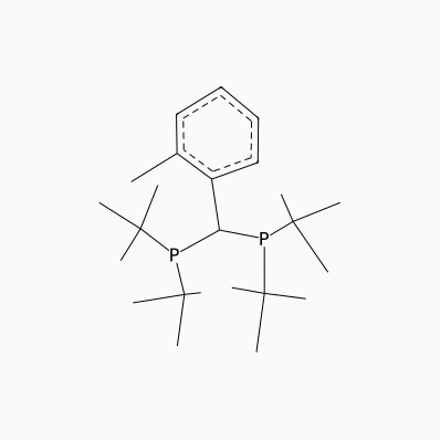 Cc1ccccc1C(P(C(C)(C)C)C(C)(C)C)P(C(C)(C)C)C(C)(C)C